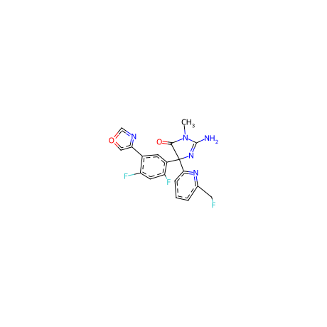 CN1C(=O)C(c2cccc(CF)n2)(c2cc(-c3cocn3)c(F)cc2F)N=C1N